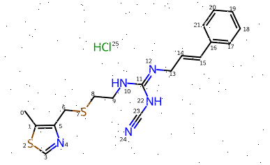 Cc1scnc1CSCCNC(=NCC=Cc1ccccc1)NC#N.Cl